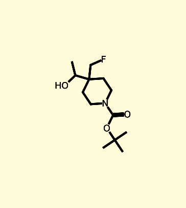 CC(O)C1(CF)CCN(C(=O)OC(C)(C)C)CC1